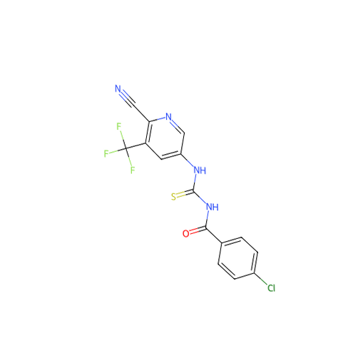 N#Cc1ncc(NC(=S)NC(=O)c2ccc(Cl)cc2)cc1C(F)(F)F